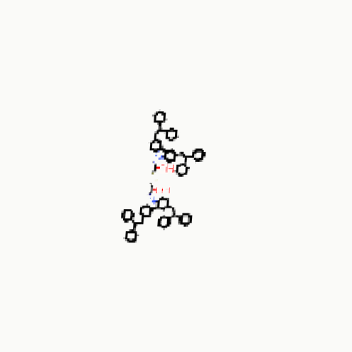 OC(CSCC(O)Cn1c2ccc(C=C(c3ccccc3)c3ccccc3)cc2c2cc(C=C(c3ccccc3)c3ccccc3)ccc21)Cn1c2ccc(C=C(c3ccccc3)c3ccccc3)cc2c2cc(C=C(c3ccccc3)c3ccccc3)ccc21